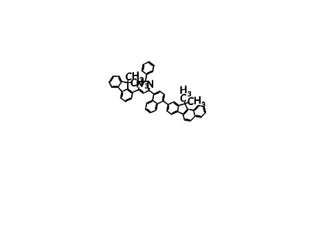 CC1(C)c2ccccc2-c2cccc(-c3cc(-c4ccc(-c5ccc6c(c5)C(C)(C)c5c-6ccc6ccccc56)c5ccccc45)nc(-c4ccccc4)n3)c21